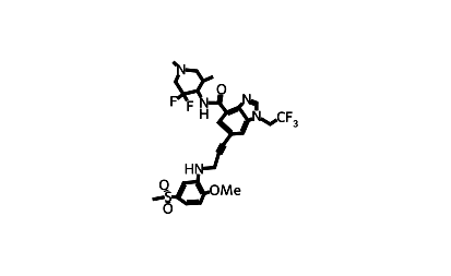 COc1ccc(S(C)(=O)=O)cc1NCC#Cc1cc(C(=O)NC2C(C)CN(C)CC2(F)F)c2ncn(CC(F)(F)F)c2c1